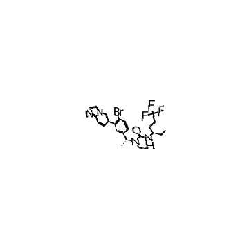 CC[C@H](CCC(F)(F)F)NC(=O)N(CC)[C@H](C)c1ccc(Br)c(-c2ccc3nccn3c2)c1